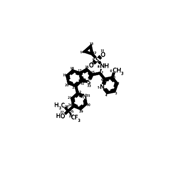 Cc1cccnc1[C@@H](NS(=O)(=O)C1CC1)c1cc2cccc(-c3cc([C@@](C)(O)C(F)(F)F)ccn3)c2s1